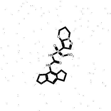 O=C(Nc1c2c(cc3c1CCC3)CCC2)NS(=O)(=N[N+](=O)[O-])c1cnn2c1OCCC2